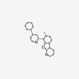 Cc1ccc2c(oc3ncccc32)c1-c1cc(-c2ccccc2)ccn1